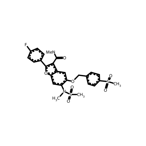 CNC(=O)c1c(-c2ccc(F)cc2)oc2cc(N(C)S(C)(=O)=O)c(OCc3ccc(S(C)(=O)=O)cc3)cc12